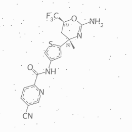 C[C@@]1(c2cc(NC(=O)c3ccc(C#N)cn3)cs2)C[C@@H](C(F)(F)F)OC(N)=N1